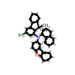 CC1(C)c2ccccc2-c2cc(Br)cc(N(c3ccc4oc5ccccc5c4c3)c3cccc4ccccc34)c21